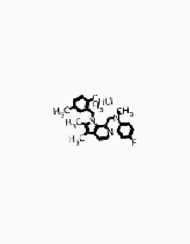 Cc1ccc(C)c(Cn2c(C)c(C)c3ccnc(CN(C)c4ccc(F)cc4)c32)c1.Cl